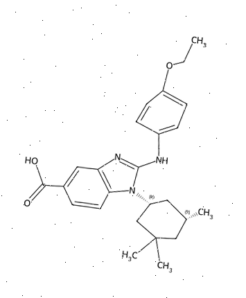 CCOc1ccc(Nc2nc3cc(C(=O)O)ccc3n2[C@@H]2C[C@H](C)CC(C)(C)C2)cc1